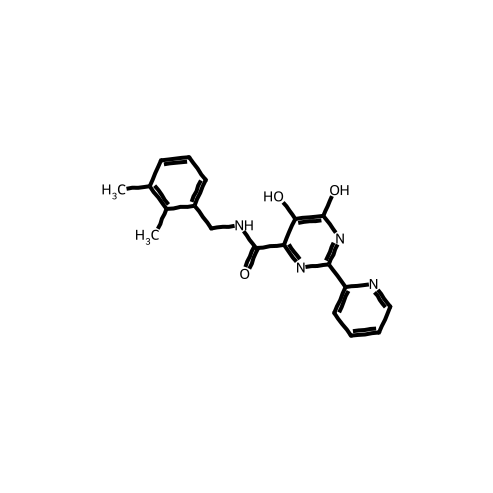 Cc1cccc(CNC(=O)c2nc(-c3ccccn3)nc(O)c2O)c1C